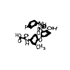 Cc1cc(NC(=O)C(=O)O)cc(Cl)c1Oc1ccc(O)c(S(=O)(=O)Nc2ccc(F)cc2)c1